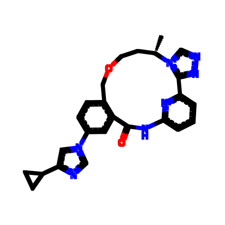 C[C@H]1CCOCc2ccc(-n3cnc(C4CC4)c3)cc2C(=O)Nc2cccc(n2)-c2nncn21